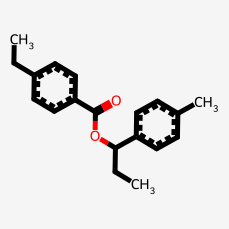 CCc1ccc(C(=O)OC(CC)c2ccc(C)cc2)cc1